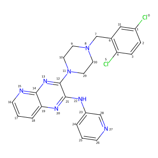 Clc1ccc(Cl)c(CN2CCN(c3nc4ncccc4nc3Nc3cccnc3)CC2)c1